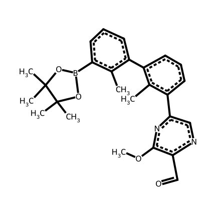 COc1nc(-c2cccc(-c3cccc(B4OC(C)(C)C(C)(C)O4)c3C)c2C)cnc1C=O